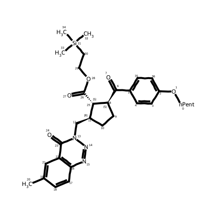 CCCCCOc1ccc(C(=O)[C@H]2CC[C@@H](Cn3nnc4ccc(C)cc4c3=O)[C@@H]2C(=O)OCC[Si](C)(C)C)cc1